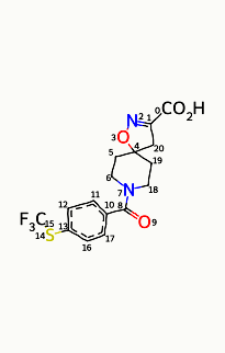 O=C(O)C1=NOC2(CCN(C(=O)c3ccc(SC(F)(F)F)cc3)CC2)C1